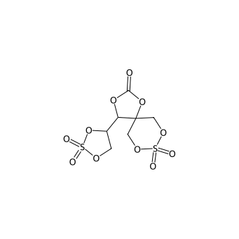 O=C1OC(C2COS(=O)(=O)O2)C2(COS(=O)(=O)OC2)O1